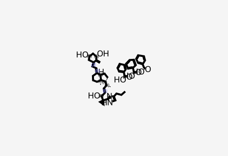 C=C1/C(=C\C=C2/CCC[C@]3(C)[C@@H]([C@H](C)/C=C/[C@@H](O)C4(c5nc(CCC)c[nH]5)CC4)CC[C@@H]23)C[C@@H](O)C[C@@H]1O.O=C(O)c1ccccc1.O=C(O)c1ccccc1.O=C(O)c1ccccc1